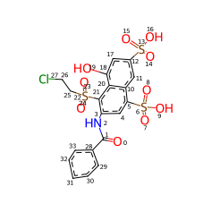 O=C(Nc1cc(S(=O)(=O)O)c2cc(S(=O)(=O)O)cc(O)c2c1S(=O)(=O)CCCl)c1ccccc1